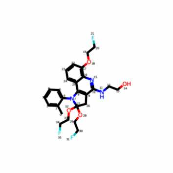 Cc1ccccc1N1c2c(c(NCCO)nc3c(OCCF)cccc23)CC1(OCCF)OCCF